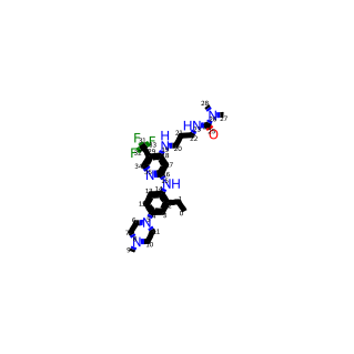 CCc1cc(N2CCN(C)CC2)ccc1Nc1cc(NCCCNC(=O)N(C)C)c(C(F)(F)F)cn1